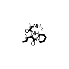 CC[C@H](C)[C@H](NC(=O)[C@H](C)N)C(=O)N1CCCCC1